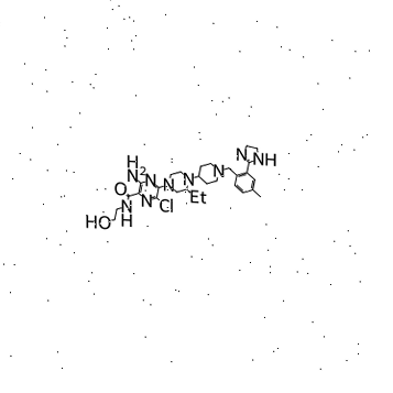 CC[C@H]1CN(c2nc(N)c(C(=O)NCCO)nc2Cl)CCN1C1CCN(Cc2ccc(C)cc2C2=NCCN2)CC1